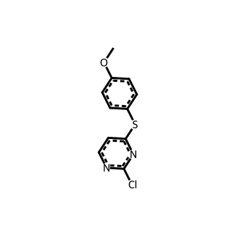 COc1ccc(Sc2ccnc(Cl)n2)cc1